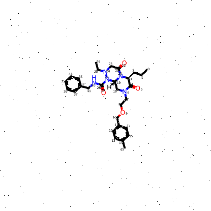 CCC[C@H]1C(=O)N(CCOCc2ccc(C)cc2)C[C@H]2N1C(=O)CN(CC)N2C(=O)NCc1ccccc1